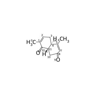 CC1=CC[C@H]2C(C)=CC(=O)C[C@@H]2C1=O